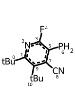 CC(C)(C)c1nc(F)c(P)c(C#N)c1C(C)(C)C